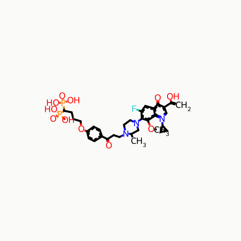 C=C(O)c1cn(C2CC2)c2c(OC)c(N3CCN(CCC(=O)c4ccc(OCCCC(P(=O)(O)O)P(=O)(O)O)cc4)C(C)C3)c(F)cc2c1=O